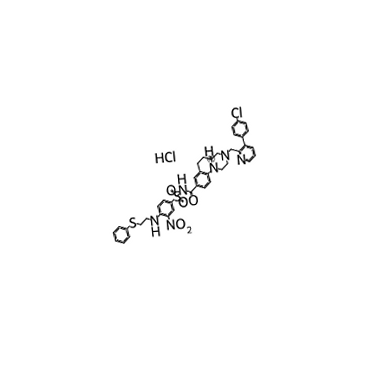 Cl.O=C(NS(=O)(=O)c1ccc(NCCSc2ccccc2)c([N+](=O)[O-])c1)c1ccc2c(c1)CC[C@@H]1CN(Cc3ncccc3-c3ccc(Cl)cc3)CCN21